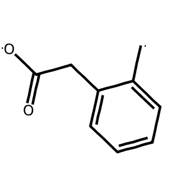 [CH2]c1ccccc1CC([O])=O